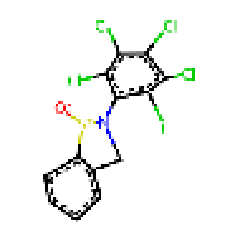 [O-][S+]1c2ccccc2CN1c1c(Cl)c(Cl)c(Cl)c(Cl)c1Cl